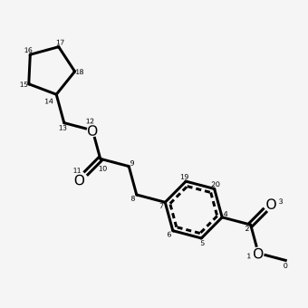 COC(=O)c1ccc(CCC(=O)OCC2CCCC2)cc1